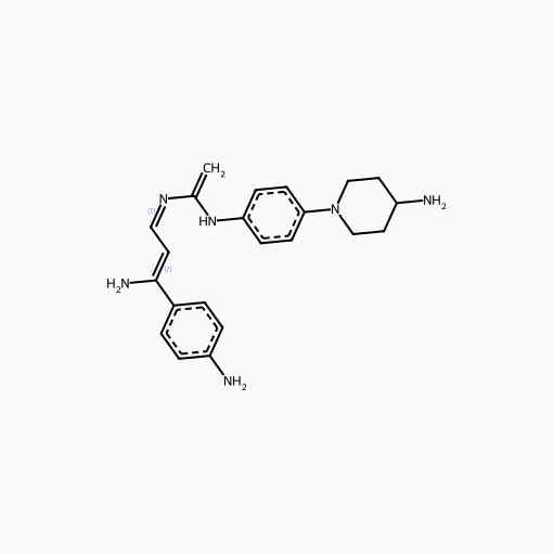 C=C(/N=C\C=C(/N)c1ccc(N)cc1)Nc1ccc(N2CCC(N)CC2)cc1